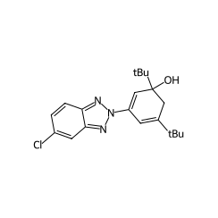 CC(C)(C)C1=CC(n2nc3ccc(Cl)cc3n2)=CC(O)(C(C)(C)C)C1